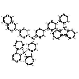 c1ccc(C2(c3ccccc3)c3ccccc3-c3ccc(N(c4ccc(-c5ccc(-c6ccccc6-n6c7ccccc7c7ccccc76)cc5)cc4)c4ccc(-c5ccc6ccccc6c5)cc4)cc32)cc1